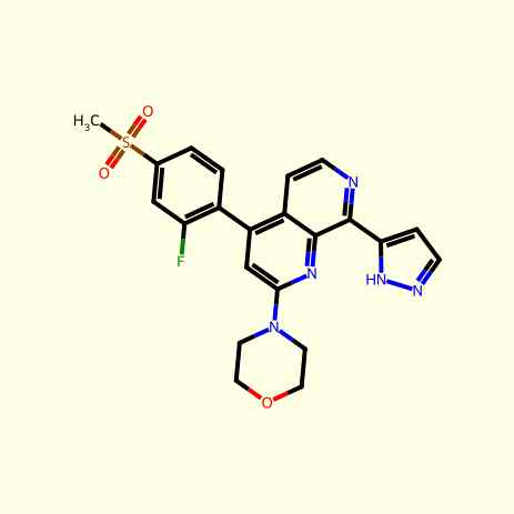 CS(=O)(=O)c1ccc(-c2cc(N3CCOCC3)nc3c(-c4ccn[nH]4)nccc23)c(F)c1